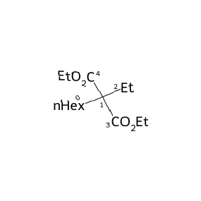 CCCCCCC(CC)(C(=O)OCC)C(=O)OCC